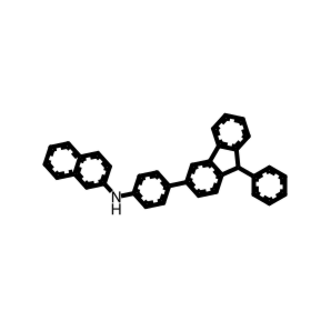 c1ccc(C2c3ccccc3-c3cc(-c4ccc(Nc5ccc6ccccc6c5)cc4)ccc32)cc1